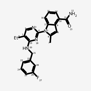 CCc1cnc(-n2c(C)cc3c(C(N)=O)cccc32)nc1NCc1cccc(F)c1